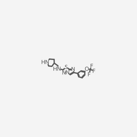 FC(F)(F)Oc1cccc(-c2cn3nc(NCC4CCNCC4)sc3n2)c1